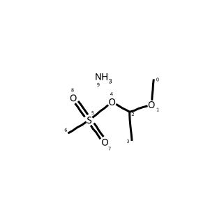 COC(C)OS(C)(=O)=O.N